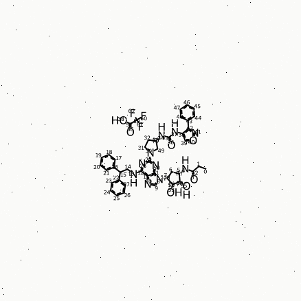 CCC(=O)N[C@H]1C[C@@H](n2cnc3c(NCC(c4ccccc4)c4ccccc4)nc(N4CC[C@@H](NC(=O)Nc5conc5-c5ccccc5)C4)nc32)[C@H](O)[C@@H]1O.O=C(O)C(F)(F)F